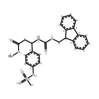 CC(C)(C)OC(=O)CC(NC(=O)OCC1c2ccccc2-c2ccccc21)c1ccc(OS(C)(=O)=O)cc1